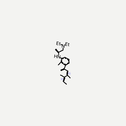 C=C(CN(CC)CC)Nc1cccc(C(=C)/C=C(C)\C(C)=C/C)c1C